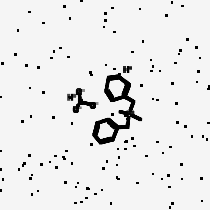 C[P+](C)(Cc1ccccc1)Cc1ccccc1.[H+].[H+].[O-]B([O-])[O-]